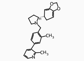 Cc1cc(-c2cccnc2C)ccc1CN1CCC[C@@H]1C1C=C2OCOC2=CC1